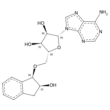 Nc1ncnc2c1ncn2[C@@H]1O[C@H](CO[C@@H]2c3ccccc3C[C@@H]2O)[C@@H](O)[C@H]1O